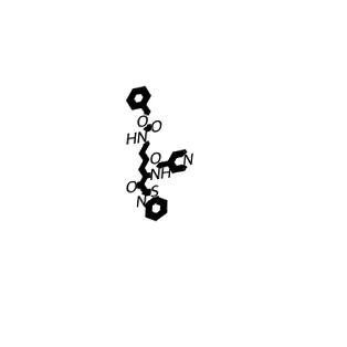 O=C(NCCCCC(NC(=O)c1ccncc1)C(=O)c1nc2ccccc2s1)OCc1ccccc1